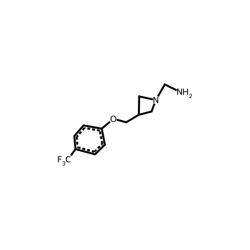 NCN1CC(COc2ccc(C(F)(F)F)cc2)C1